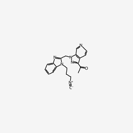 [C-]#[N+]CCCn1c(Cn2nc(C(C)=O)c3ccncc32)nc2ccccc21